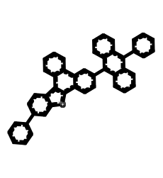 c1ccc(-c2ccc3c(c2)oc2c4ccc(-c5c6ccccc6c(-c6ccccc6)c6ccccc56)cc4c4ccccc4c32)cc1